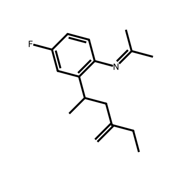 C=C(CC)CC(C)c1cc(F)ccc1N=C(C)C